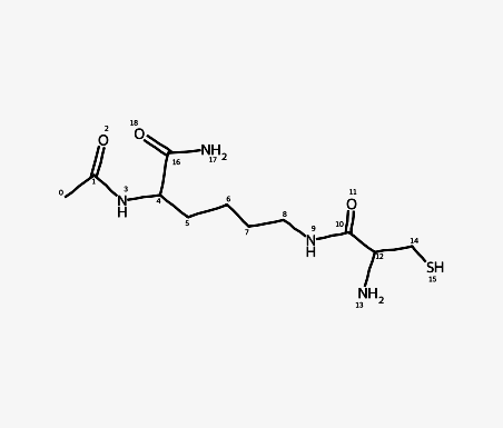 CC(=O)NC(CCCCNC(=O)C(N)CS)C(N)=O